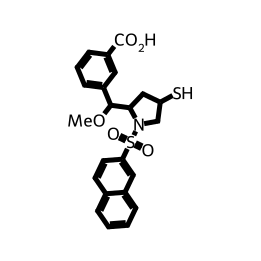 COC(c1cccc(C(=O)O)c1)C1CC(S)CN1S(=O)(=O)c1ccc2ccccc2c1